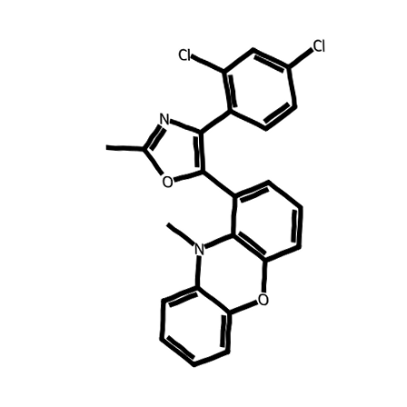 Cc1nc(-c2ccc(Cl)cc2Cl)c(-c2cccc3c2N(C)c2ccccc2O3)o1